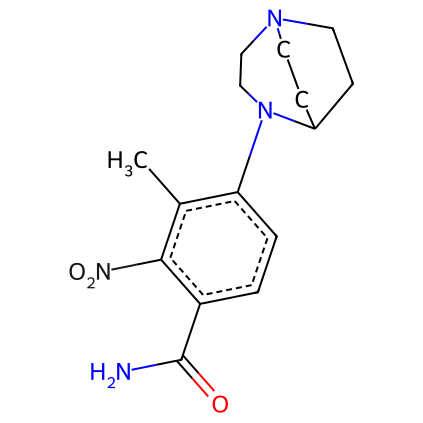 Cc1c(N2CCN3CCC2CC3)ccc(C(N)=O)c1[N+](=O)[O-]